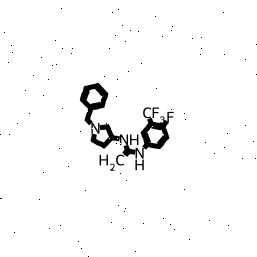 C=C(Nc1ccc(F)c(C(F)(F)F)c1)NC1CCN(Cc2ccccc2)C1